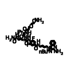 CCCCc1nc2c(N)nc3ccccc3c2n1CCCCNC(=O)c1cc(F)c(NC(=O)[C@H](CCCNC(N)=O)NC(O)[C@@H](NC(=O)CCOCCON)C(C)C)c(F)c1